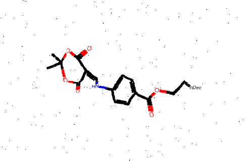 CCCCCCCCCCCCOC(=O)c1ccc(NC=C2C(=O)OC(C)(C)OC2=O)cc1